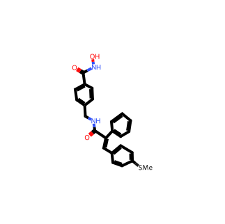 CSc1ccc(C=C(C(=O)NCc2ccc(C(=O)NO)cc2)c2ccccc2)cc1